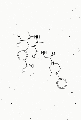 COC(=O)C1=C(C)NC(C)=C(C(=O)NCC(=O)N2CCN(c3ccccc3)CC2)C1c1cccc([N+](=O)[O-])c1